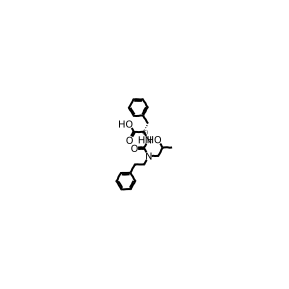 CC(O)CN(CCc1ccccc1)C(=O)N[C@@H](Cc1ccccc1)C(=O)O